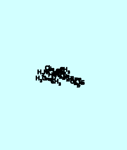 CC#C[C@H](C)Oc1cc(N)c(Cl)cc1C(=O)NC1CCN(CCCOc2ccc(F)cc2)CC1OC